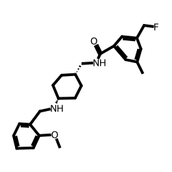 COc1ccccc1CN[C@H]1CC[C@@H](CNC(=O)c2cc(C)cc(CF)c2)CC1